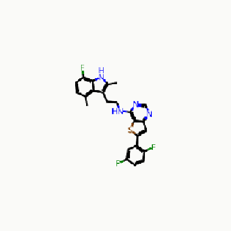 Cc1[nH]c2c(F)ccc(C)c2c1CCNc1ncnc2cc(-c3cc(F)ccc3F)sc12